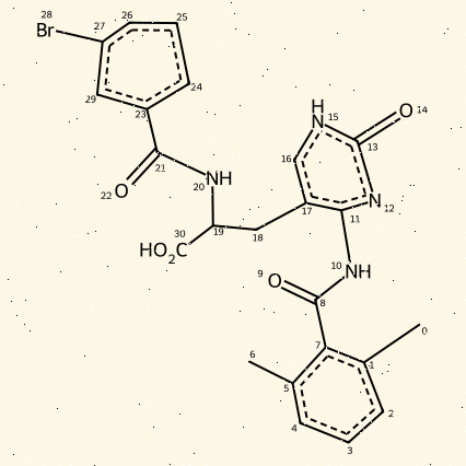 Cc1cccc(C)c1C(=O)Nc1nc(=O)[nH]cc1CC(NC(=O)c1cccc(Br)c1)C(=O)O